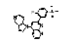 Fc1ccc(C(F)(F)F)cc1-c1cc(-n2ccc3cnccc32)c2cccnc2n1